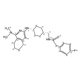 CN(C)c1nc(N[C@H]2CC[C@@H](CNC(=O)Cc3ccc(F)cc3)CC2)nc2c1CCCC2